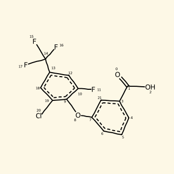 O=C(O)c1cccc(Oc2c(F)cc(C(F)(F)F)cc2Cl)c1